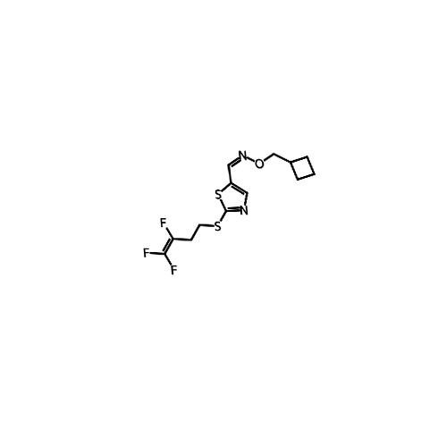 FC(F)=C(F)CCSc1ncc(/C=N\OCC2CCC2)s1